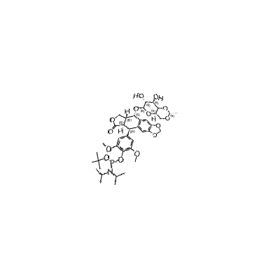 COc1cc([C@@H]2c3cc4c(cc3[C@@H](O[C@@H]3O[C@@H]5CO[C@@H](C)OC5[C@H](O)[C@H]3O)[C@H]3COC(=O)[C@H]23)OCO4)cc(OC)c1OP(OC(C)(C)C)N(C(C)C)C(C)C